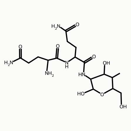 CC1C(CO)OC(O)C(NC(=O)C(CCC(N)=O)NC(=O)C(N)CCC(N)=O)C1O